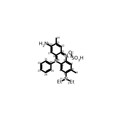 CCN(CC)c1cc2c(cc1C)nc1cc(C)c(N)cc1[n+]2-c1ccccc1.O=S(=O)([O-])O